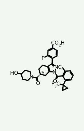 O=C(O)c1ccc(-c2nn(C(=O)c3c(Cl)cccc3C3(C(F)(F)F)CC3)c3c2CC[C@H](C(=O)N2CCC(O)CC2)C3)c(F)c1